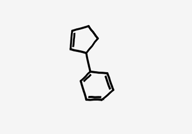 [c]1ccc(C2C=CCC2)cc1